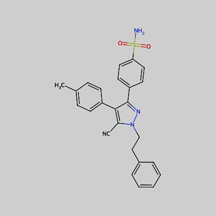 Cc1ccc(-c2c(-c3ccc(S(N)(=O)=O)cc3)nn(CCc3ccccc3)c2C#N)cc1